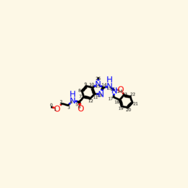 COCCNC(=O)c1ccc2c(c1)nc(NN1Cc3ccccc3O1)n2C